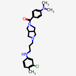 Cc1ccc(NCCCN2CC3CN(C(=O)c4ccc(N(C)C)cc4)CC3C2)cc1Cl